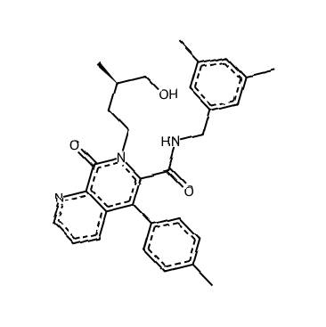 Cc1ccc(-c2c(C(=O)NCc3cc(C)cc(C)c3)n(CC[C@@H](C)CO)c(=O)c3ncccc23)cc1